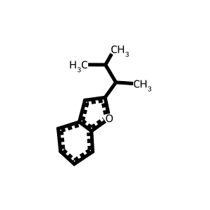 CC(C)C(C)c1cc2ccccc2o1